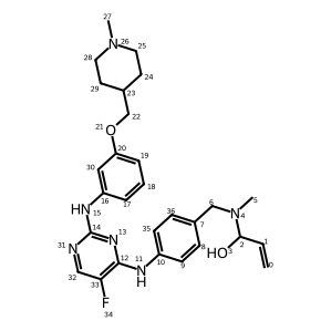 C=CC(O)N(C)Cc1ccc(Nc2nc(Nc3cccc(OCC4CCN(C)CC4)c3)ncc2F)cc1